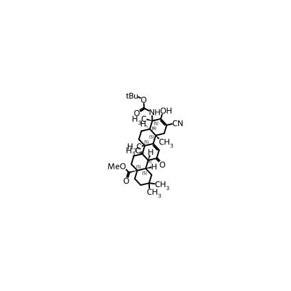 COC(=O)[C@]12CCC(C)(C)C[C@H]1[C@H]1C(=O)C=C3[C@@]4(C)CC(C#N)=C(O)[C@@](C)(NC(=O)OC(C)(C)C)[C@@H]4CC[C@@]3(C)[C@]1(C)CC2